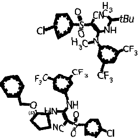 CC(NC(=C(C#N)S(=O)(=O)c1ccc(Cl)cc1)N(C)c1cc(C(F)(F)F)cc(C(F)(F)F)c1)C(C)(C)C.N#CC(=C(Nc1cc(C(F)(F)F)cc(C(F)(F)F)c1)NC1CCC[C@@H]1OCc1ccccc1)S(=O)(=O)c1ccc(Cl)cc1